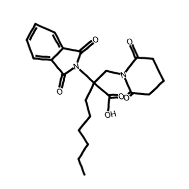 CCCCCCC(CN1C(=O)CCCC1=O)(C(=O)O)N1C(=O)c2ccccc2C1=O